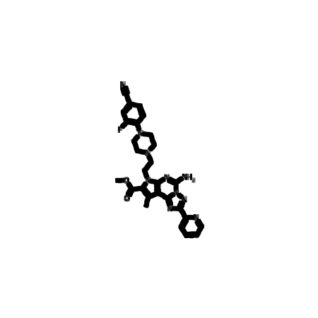 COC(=O)c1c(C)c2c(nc(N)n3nc(-c4ccccn4)nc23)n1CCN1CCN(c2ccc(C#N)cc2F)CC1